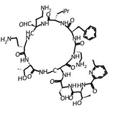 Cc1cccc(C(=O)N[C@H](C(=O)N[C@H](CO)C(=O)N[C@H]2CCNC(=O)[C@H]([C@@H](C)O)NC(=O)[C@H](CCN)NC[C@](C=O)(CCN)NC(=O)[C@H](CC(C)C)NC(=O)[C@@H](Cc3ccccc3)NC(=O)[C@H](CCN)NC2=O)[C@@H](C)O)n1